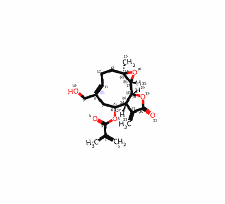 C=C(C)C(=O)O[C@H]1C/C(CO)=C/CC[C@@]2(C)O[C@@H]2[C@H]2OC(=O)C(=C)[C@@H]21